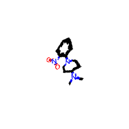 CN(C)C1CCN(c2ccccc2[N+](=O)[O-])CC1